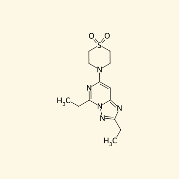 CCc1nc2cc(N3CCS(=O)(=O)CC3)nc(CC)n2n1